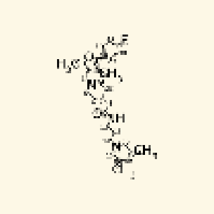 CC1=C(CN2CCC(CC(=O)NCCCN3C[C@H](C)C[C@H](C)C3)CC2)N(C)C(c2ccc(F)cc2)O1